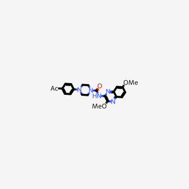 COc1ccc2nc(OC)c(NC(=O)N3CCN(c4ccc(C(C)=O)cc4)CC3)nc2c1